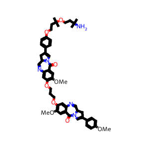 COc1ccc(C2=CN3C(=O)c4cc(OC)c(OCCCOc5cc6c(cc5OC)C(=O)N5C=C(c7ccc(OCCC(C)(C)OCCC(C)(C)N)cc7)CC5C=N6)cc4N=CC3C2)cc1